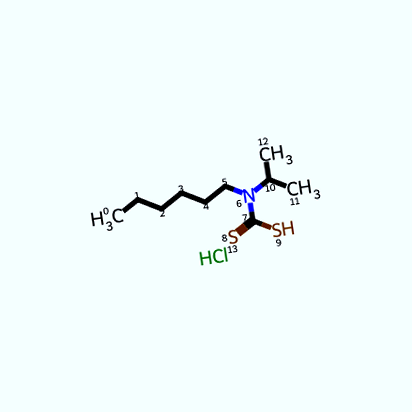 CCCCCCN(C(=S)S)C(C)C.Cl